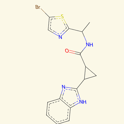 CC(NC(=O)C1CC1c1nc2ccccc2[nH]1)c1ncc(Br)s1